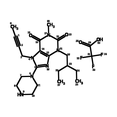 CC#CCn1c(N2CCNCC2)nc2c1c(=O)n(C)c(=O)n2CC(CC)CC.O=C(O)C(F)(F)F